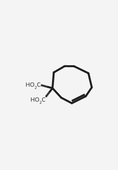 O=C(O)C1(C(=O)O)CC=CCCCCC1